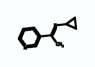 CC(=NC1CC1)c1cccnc1